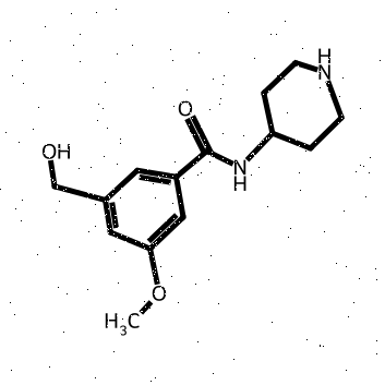 COc1cc(CO)cc(C(=O)NC2CCNCC2)c1